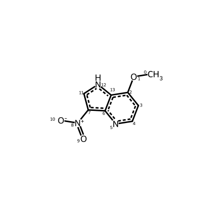 COc1ccnc2c([N+](=O)[O-])c[nH]c12